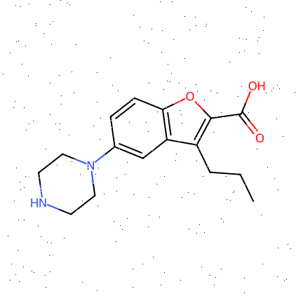 CCCc1c(C(=O)O)oc2ccc(N3CCNCC3)cc12